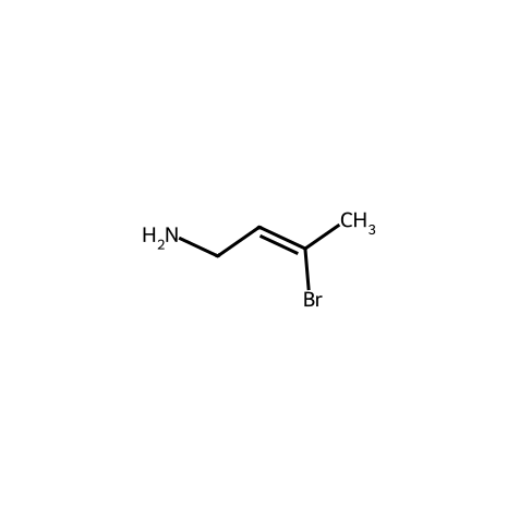 CC(Br)=CCN